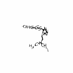 CN(C)CCn1nnnc1SC[C]=O